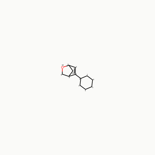 C1=C(C2CCCCC2)C2COC1C2